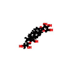 C[C@@H]1C[C@H]([C@@H](O)C(C)(C)O)OC2=C1[C@@]1(C)CC[C@@]34C[C@@]35CC[C@H](O[C@@H]3OC[C@H](O)[C@H](O)[C@H]3O)C(C)(C)[C@@H]5CC[C@H]4[C@]1(C)[C@H]2O